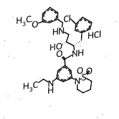 CCNc1cc(C(=O)N[C@@H](Cc2cccc(Cl)c2)[C@H](O)CNCc2cccc(OC)c2)cc(N2CCCCS2(=O)=O)c1.Cl